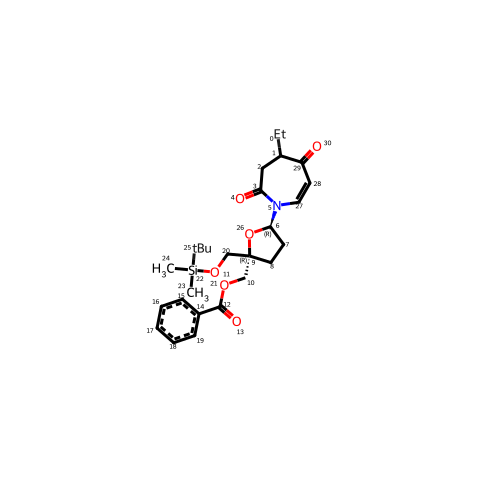 CCC1CC(=O)N([C@H]2CC[C@@](COC(=O)c3ccccc3)(CO[Si](C)(C)C(C)(C)C)O2)C=CC1=O